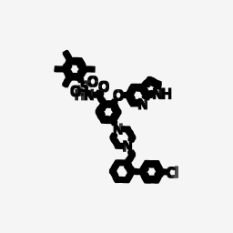 Cc1cc(C)c(S(=O)(=O)NC(=O)c2ccc(N3CCN(CC4=C(c5ccc(Cl)cc5)CCCC4)CC3)cc2Oc2cnc3[nH]ccc3c2)c(C)c1C